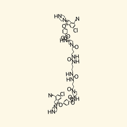 N#Cc1cc(Cl)cc2c1C[C@H](N1CCNCC1)[C@H]2Oc1ccc(S(=O)(=O)N[C@@H]2CCN(C(=O)CCCNC(=O)NCCCCNC(=O)NCCCC(=O)N3CC[C@@H](NS(=O)(=O)c4ccc(O[C@H]5c6cc(Cl)cc(C#N)c6C[C@@H]5N5CCNCC5)cc4)C3)C2)cc1